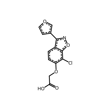 O=C(O)COc1ccc2c(-c3ccoc3)noc2c1Cl